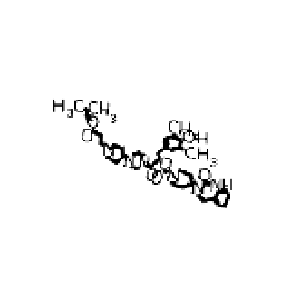 Cc1cc(C[C@@H](OC(=O)N2CCC(N3CCc4ccccc4NC3=O)CC2)C(=O)N2CCN(C3CCN(CCC(=O)OCC(C)C)CC3)CC2)cc(C)c1O